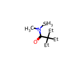 CCC(CC)(CC)C(=O)N(C)[SiH3]